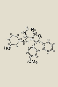 COc1ccc(-c2c(-c3ccccc3)oc3ncnc(NC4CCCC(O)C4)c23)cc1